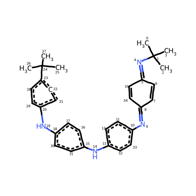 CC(C)(C)N=C1C=CC(=Nc2ccc(Nc3ccc(Nc4ccc(C(C)(C)C)cc4)cc3)cc2)C=C1